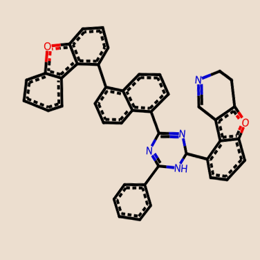 C1=NCCc2oc3cccc(C4N=C(c5cccc6c(-c7cccc8oc9ccccc9c78)cccc56)N=C(c5ccccc5)N4)c3c21